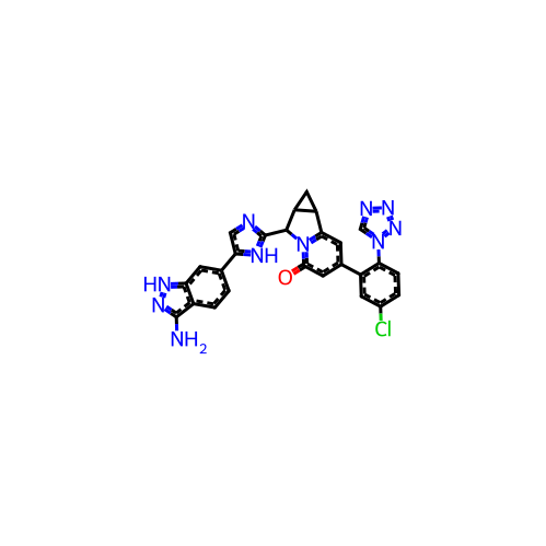 Nc1n[nH]c2cc(-c3cnc(C4C5CC5c5cc(-c6cc(Cl)ccc6-n6cnnn6)cc(=O)n54)[nH]3)ccc12